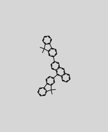 CC1(C)c2ccccc2-c2ccc(-c3ccc4c(-c5ccc6c(c5)C(C)(C)c5ccccc5-6)c5ccccc5cc4c3)cc21